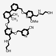 COc1nc(OCc2cccc(C3=CC=CC(COc4ccc(CNCCO)c(OCc5cncc(C#N)c5)n4)C3(C)C)c2)ccc1CNCCO